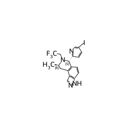 C[C@@H]1Cc2c(ccc3[nH]ncc23)[C@@H](c2ccc(I)cn2)N1CC(F)(F)F